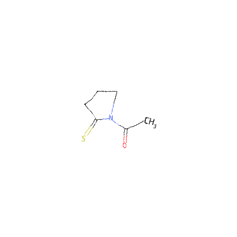 CC(=O)N1CCCC1=S